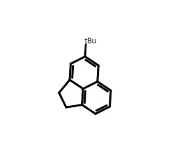 CC(C)(C)c1cc2c3c(cccc3c1)CC2